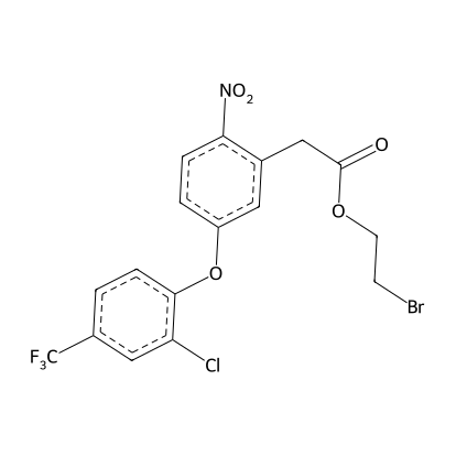 O=C(Cc1cc(Oc2ccc(C(F)(F)F)cc2Cl)ccc1[N+](=O)[O-])OCCBr